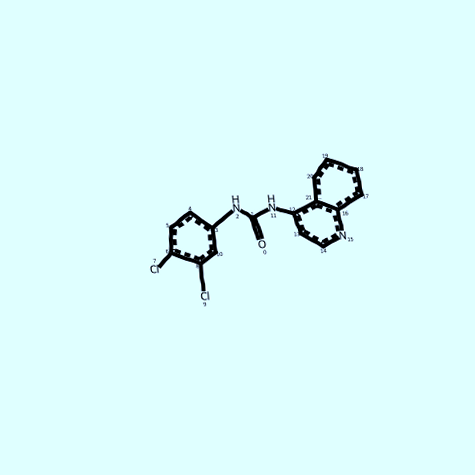 O=C(Nc1ccc(Cl)c(Cl)c1)Nc1ccnc2ccccc12